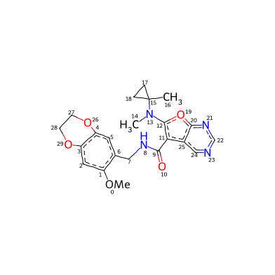 COc1cc2c(cc1CNC(=O)c1c(N(C)C3(C)CC3)oc3ncncc13)OCCO2